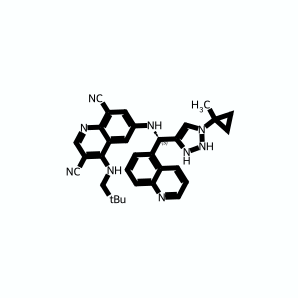 CC(C)(C)CNc1c(C#N)cnc2c(C#N)cc(N[C@H](C3=CN(C4(C)CC4)NN3)c3cccc4ncccc34)cc12